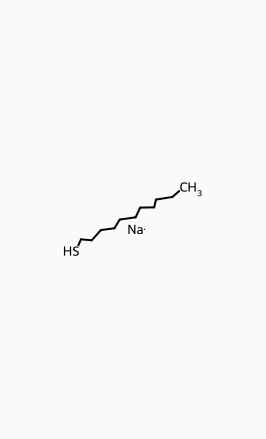 CCCCCCCCCCCS.[Na]